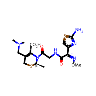 CO/N=C(\C(=O)NCC(=O)N1C(C(=O)O)=C(CN(C)C)CS[C@@H]1C)c1csc(N)n1